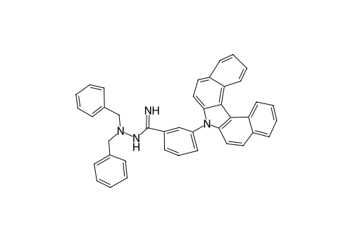 N=C(NN(Cc1ccccc1)Cc1ccccc1)c1cccc(-n2c3ccc4ccccc4c3c3c4ccccc4ccc32)c1